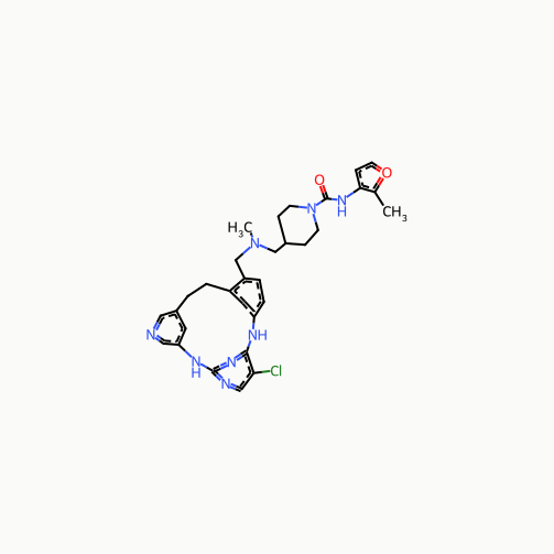 Cc1occc1NC(=O)N1CCC(CN(C)Cc2ccc3cc2CCc2cncc(c2)Nc2ncc(Cl)c(n2)N3)CC1